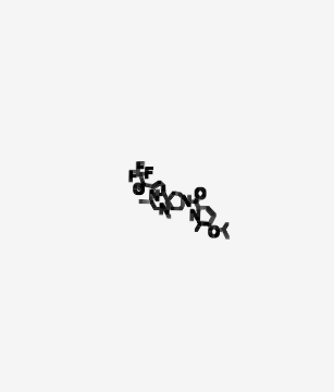 Cc1nc(C(=O)N2CCC3(CC2)c2ccc(C(=O)C(F)(F)F)n2[C@H](C)CN3C)ccc1OC(C)C